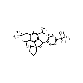 CC(C)c1nc2c(c3c1[C@@H](c1cnc(C(C)(C)C)nc1)OC31CCCC1)[C@@H](O)CC(C)(C)C2